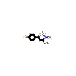 CC(=CC(=O)c1ccc(Br)cc1)N(C)C